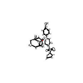 O=C1C[C@H]2COC[C@@H](C1)N2C[C@H]1CN(S(=O)(=O)C2CC=CS2)CCN1c1ccc(O)cc1